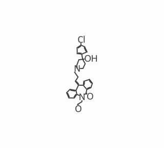 O=CCN1C(=O)c2ccccc2C(=CCCN2CCC(O)(c3ccc(Cl)cc3)CC2)c2ccccc21